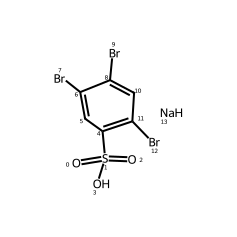 O=S(=O)(O)c1cc(Br)c(Br)cc1Br.[NaH]